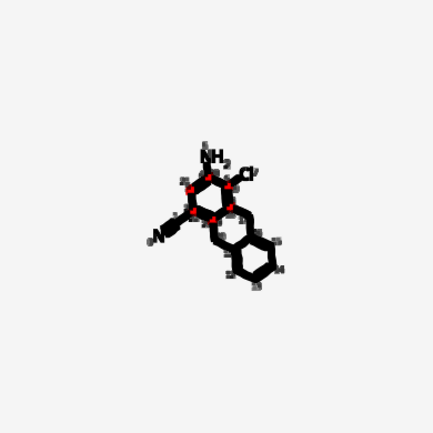 N#Cc1cc(N)c(Cl)c2c1C1c3ccccc3C2c2ccccc21